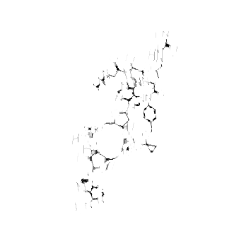 CC(C)[C@H](NC(=O)CN=[N+]=[N-])C(=O)N[C@@H](CCCNC(N)=O)C(=O)Nc1ccc(COC2(OSP3(=O)OC[C@H]4O[C@@H](n5cnc6c(N)ncnc65)[C@H](F)[C@@H]4O[P@](=O)(S)OCC4O[C@@H](n5cnc6c(N)ncnc65)C[C@@H]4O3)CC2)cc1